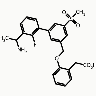 CC(N)c1cccc(-c2cc(COc3ccccc3CC(=O)O)cc(S(C)(=O)=O)c2)c1F